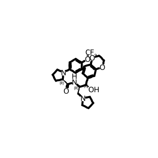 O=C(N[C@H](CN1CCCC1)[C@H](O)c1ccc2c(c1)OCCO2)[C@H]1CCCN1c1ccc(OC(F)(F)F)cc1